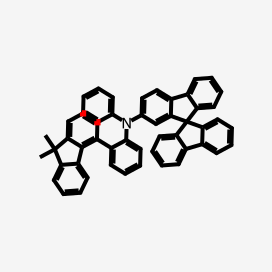 CC1(C)c2ccccc2-c2c(-c3ccccc3N(c3ccccc3)c3ccc4c(c3)C3(c5ccccc5-c5ccccc53)c3ccccc3-4)cccc21